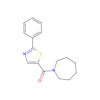 O=C(c1cnc(-c2ccccc2)s1)N1CCCCCC1